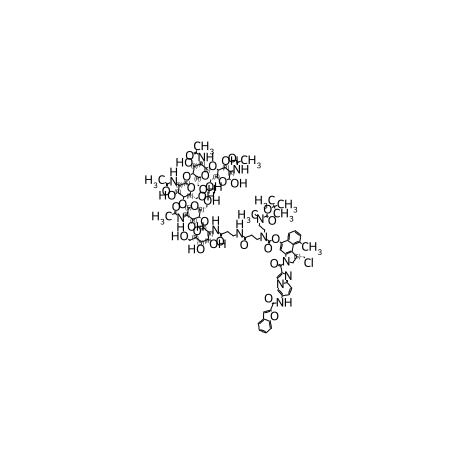 CC(=O)N[C@H]1[C@H](OC2[C@@H](CO)O[C@@H](OC3[C@@H](CO)O[C@@H](OC4[C@@H](CO)OC(O)[C@H](NC(C)=O)[C@H]4O)[C@H](NC(C)=O)[C@H]3O)[C@H](NC(C)=O)[C@H]2O)O[C@H](CO)C(O[C@@H]2O[C@H](CO)[C@@H](O)[C@H](O)[C@H]2NC(=O)CCNC(=O)CCN(CCN(C)C(=O)OC(C)(C)C)C(=O)Oc2cc3c(c4c(C)cccc24)[C@H](CCl)CN3C(=O)c2cn3cc(NC(=O)c4cc5ccccc5o4)ccc3n2)[C@@H]1O